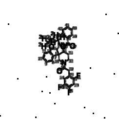 [2H]C([2H])([2H])NCC1(c2ccccc2OC([2H])([2H])[2H])CN(C(=O)Cc2cc(F)c(F)cc2F)CCC1OC(=O)c1ccccc1